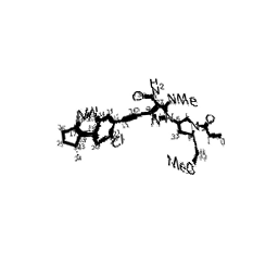 C=CC(=O)N1CC(n2nc(C#Cc3cc4nnc5c(c4cc3Cl)[C@H](C)CC5)c(C(N)=O)c2NC)C[C@@H]1COC